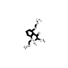 COCOc1cccc(OCOC)c1C(=O)C(C)C